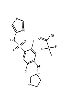 O=C(O)C(F)(F)F.O=S(=O)(Nc1cscn1)c1cc(Cl)c(N[C@@H]2CCNC2)cc1F